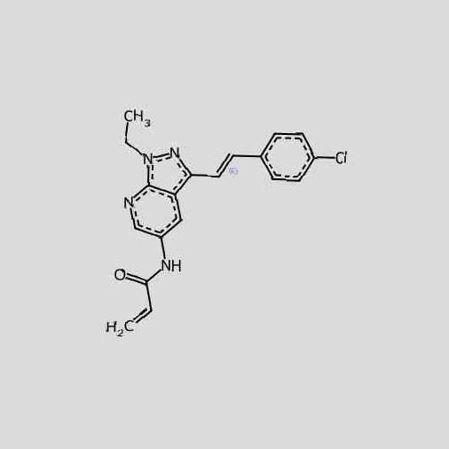 C=CC(=O)Nc1cnc2c(c1)c(/C=C/c1ccc(Cl)cc1)nn2CC